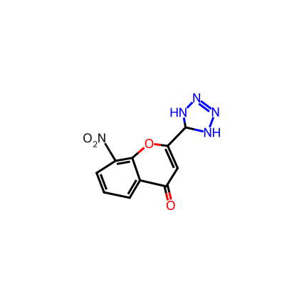 O=c1cc(C2NN=NN2)oc2c([N+](=O)[O-])cccc12